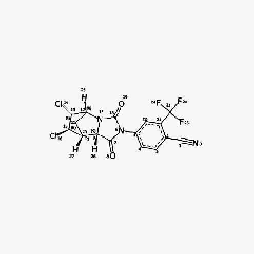 N#Cc1ccc(N2C(=O)[C@@H]3[C@H]4C[C@H]([C@@H](Cl)[C@@H]4Cl)N3C2=O)cc1C(F)(F)F